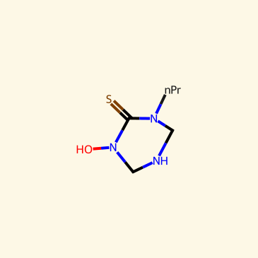 CCCN1CNCN(O)C1=S